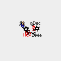 CCCCCCCCCCCCOc1ccccc1OCC(COP(=O)(O)Oc1cccc(CN2C=C(C)SC2)c1)OC